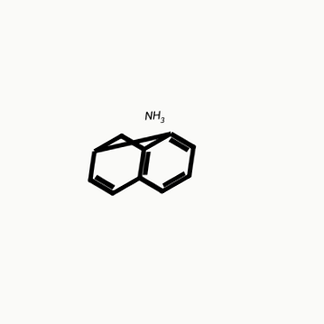 C1=CC2Cc3c1cccc32.N